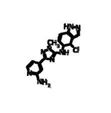 Cn1nc(-c2ccnc(N)c2)nc1NC1C=Cc2[nH]ncc2C1Cl